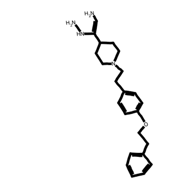 N/C=C(\NN)C1CCN(CCc2ccc(OCCc3ccccc3)cc2)CC1